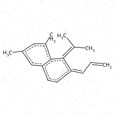 C=C/C=c1/ccc2cc(C)cc(C)c2c1=C(C)C